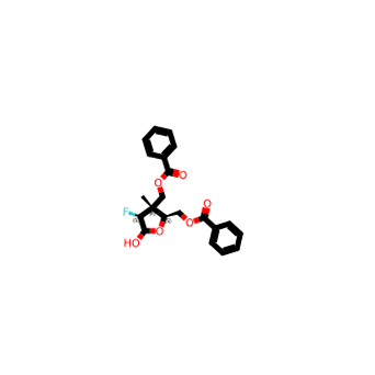 C[C@]1(COC(=O)c2ccccc2)[C@H](F)C(O)O[C@@H]1COC(=O)c1ccccc1